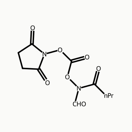 CCCC(=O)N(C=O)OC(=O)ON1C(=O)CCC1=O